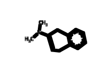 CN(C)C1=CCc2ccccc2C1